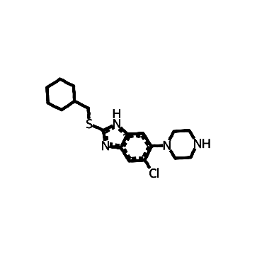 Clc1cc2nc(SCC3CCCCC3)[nH]c2cc1N1CCNCC1